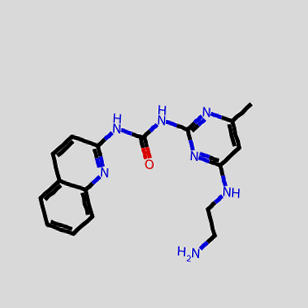 Cc1cc(NCCN)nc(NC(=O)Nc2ccc3ccccc3n2)n1